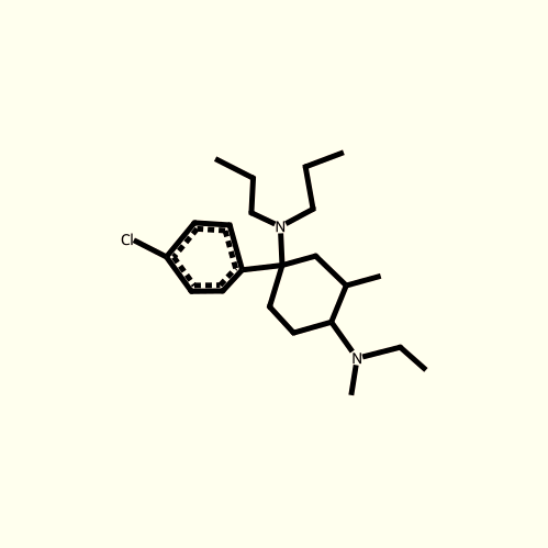 CCCN(CCC)C1(c2ccc(Cl)cc2)CCC(N(C)CC)C(C)C1